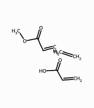 C=C.C=CC(=O)O.C=CC(=O)OC